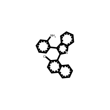 Nc1ccccc1-c1c(-c2c(Cl)ccc3ccccc23)sc2ccccc12